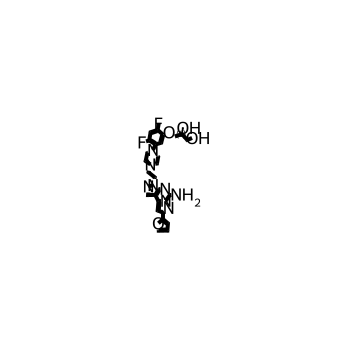 Nc1nc2c(cnn2CCN2CCN(c3cc(OC[C@@H](O)CO)c(F)cc3F)CC2)c2cc(-c3ccco3)nn12